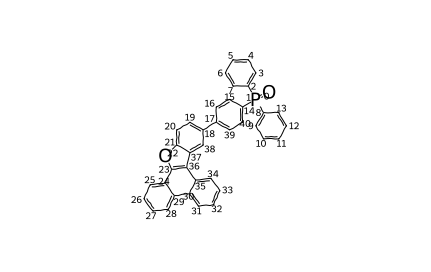 O=P(c1ccccc1)(c1ccccc1)c1ccc(-c2ccc3oc4c5ccccc5c5ccccc5c4c3c2)cc1